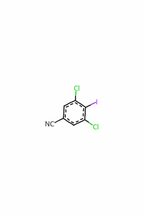 N#Cc1cc(Cl)c(I)c(Cl)c1